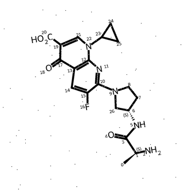 C[C@H](N)C(=O)N[C@H]1CCN(c2nc3c(cc2F)c(=O)c(C(=O)O)cn3C2CC2)C1